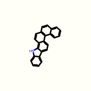 c1ccc2c(c1)ccc1ccc3c(ccc4c5ccccc5[nH]c43)c12